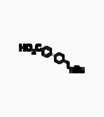 CCCCC=C[C@H]1CC[C@H](c2ccc(C(=O)O)cc2)CC1